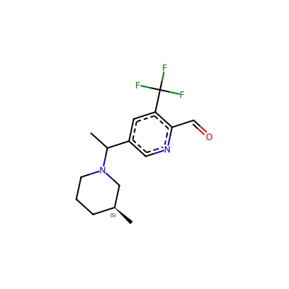 CC(c1cnc(C=O)c(C(F)(F)F)c1)N1CCC[C@H](C)C1